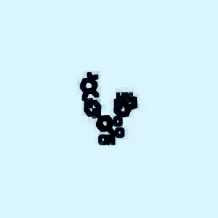 CC1=C(CN2CCN(c3ccc(C(=O)N=O)c(Oc4cnc5[nH]ccc5c4)c3)CC2)CCC(C)(C)C1